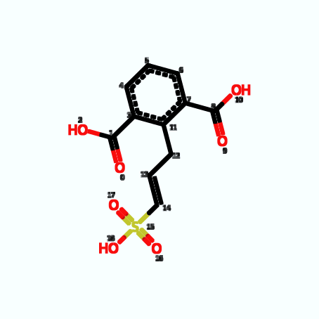 O=C(O)c1cccc(C(=O)O)c1CC=CS(=O)(=O)O